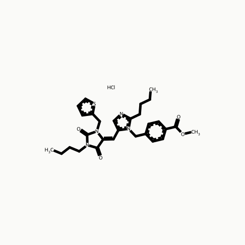 CCCCc1ncc(C=C2C(=O)N(CCCC)C(=O)N2Cc2cccs2)n1Cc1ccc(C(=O)OC)cc1.Cl